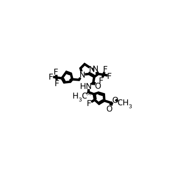 COC(=O)c1ccc([C@H](C)NC(=O)c2c(C(F)(F)F)nn3c2N(Cc2ccc(C(F)(F)F)cc2)CC3)c(F)c1